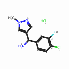 Cl.Cn1cc(C(N)c2ccc(Cl)c(F)c2)cn1